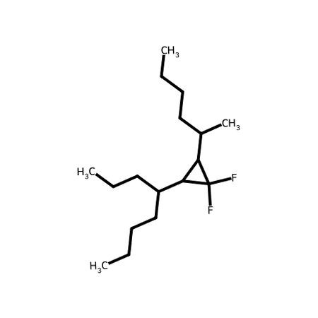 CCCCC(C)C1C(C(CCC)CCCC)C1(F)F